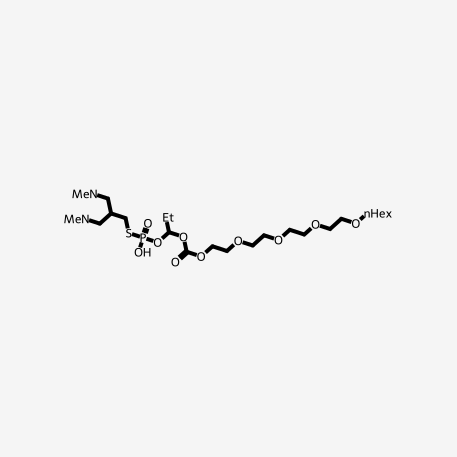 CCCCCCOCCOCCOCCOCCOC(=O)OC(CC)OP(=O)(O)SCC(CNC)CNC